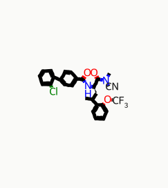 CC(C[C@H](NC(=O)c1ccc(-c2ccccc2Cl)cc1)C(=O)N(C)C#N)c1ccccc1OC(F)(F)F